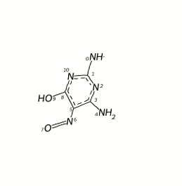 [NH]c1nc(N)c(N=O)c(O)n1